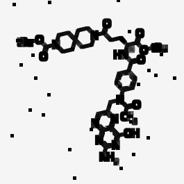 CC(C)(C)OC(=O)[C@H](CCC(=O)N1CCC2(CC1)CCN(C(=O)OC(C)(C)C)CC2)NC(=O)c1ccc(N(Cc2cnc3nc(N)nc(O)c3n2)C(=O)C(F)(F)F)cc1